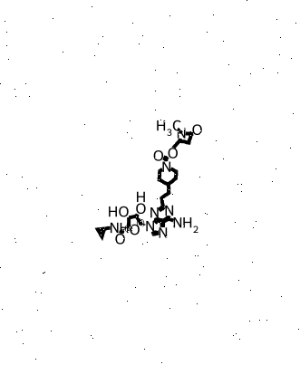 CN1C(=O)CC1COC(=O)N1CCC(CCc2nc(N)c3ncn([C@@H]4O[C@H](C(=O)NC5CC5)C(O)C4O)c3n2)CC1